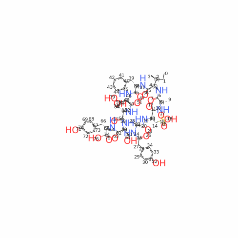 CC[C@H](C)[C@H](NC(=O)[C@H](C)NC(=O)[C@H](CS(=O)(=O)O)NC(=O)[C@H](C)NC(=O)Cc1ccc(O)cc1)C(=O)N[C@@H](Cc1ccccc1)C(=O)N[C@H](C(=O)N[C@@H](CO)C(=O)N[C@@H](CO)C(=O)N[C@@H](Cc1ccc(O)cc1)C(=O)O)[C@@H](C)O